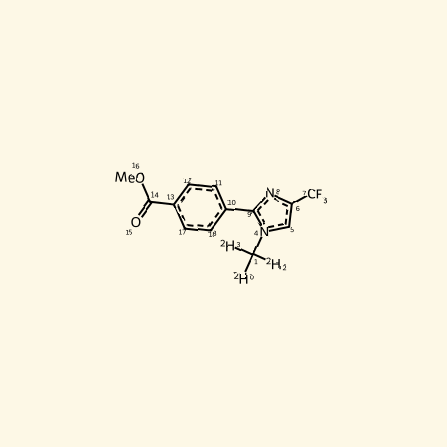 [2H]C([2H])([2H])n1cc(C(F)(F)F)nc1-c1ccc(C(=O)OC)cc1